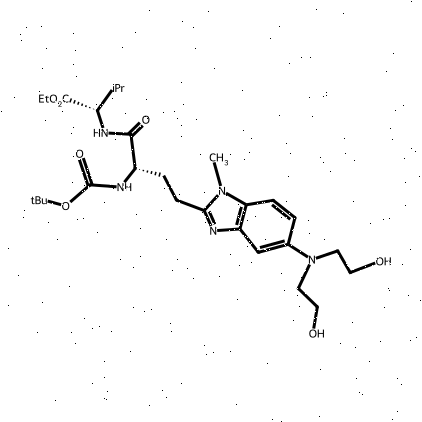 CCOC(=O)[C@@H](NC(=O)[C@H](CCc1nc2cc(N(CCO)CCO)ccc2n1C)NC(=O)OC(C)(C)C)C(C)C